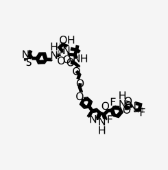 Cc1ncsc1-c1ccc(CNC(=O)[C@@H]2C[C@@H](O)CN2C(=O)C(NC(=O)COCCOCCOc2ccc(-c3cnc4[nH]cc(C(=O)c5c(F)ccc(NS(=O)(=O)N6CC[C@@H](F)C6)c5F)c4c3)cc2)C(C)(C)C)cc1